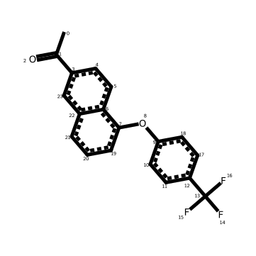 CC(=O)c1ccc2c(Oc3ccc(C(F)(F)F)cc3)cccc2c1